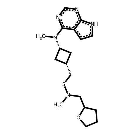 CN(CC1CCCO1)SC[C@H]1C[C@@H](N(C)c2ncnc3[nH]ccc23)C1